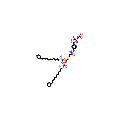 O=C(O)CC[C@H](NC(=O)c1ccc(CNC(=O)CCSCC(COC(=O)NCCCCCCCCCCCC2CCCCC2)OC(=O)NCCCCCCCCCCCC2CCCCC2)cc1)C(=O)O